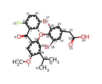 COc1cc(C(=O)c2ccccc2F)c(Oc2c(Br)cc(CC(=O)O)cc2Br)cc1C(C)C